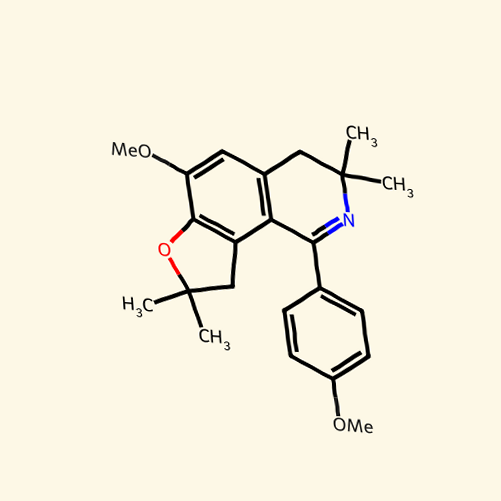 COc1ccc(C2=NC(C)(C)Cc3cc(OC)c4c(c32)CC(C)(C)O4)cc1